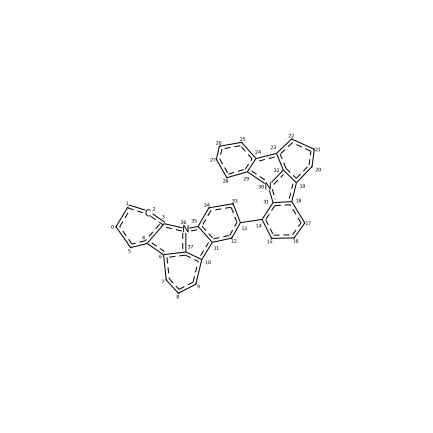 c1ccc2c(c1)c1cccc3c4cc(-c5cccc6c7cccc8c9ccccc9n(c56)c87)ccc4n2c13